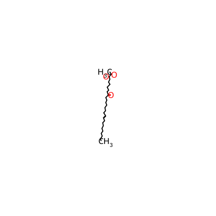 CCCCCCCCC/C=C/CCCCCCCC(=O)CCCCCCC(=O)C(C)=O